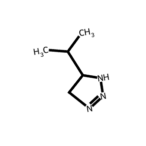 CC(C)C1CN=NN1